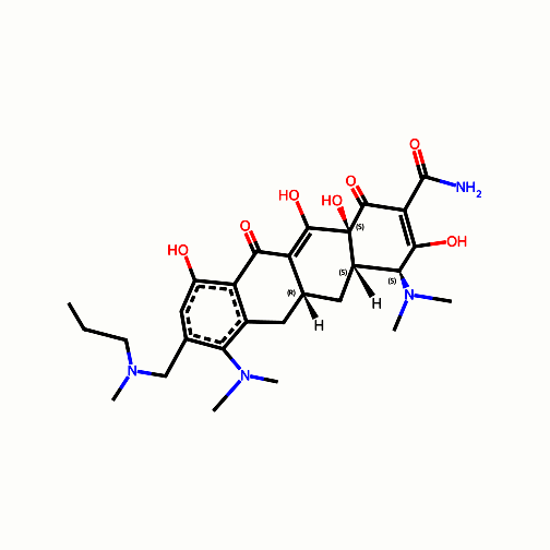 CCCN(C)Cc1cc(O)c2c(c1N(C)C)C[C@H]1C[C@H]3[C@H](N(C)C)C(O)=C(C(N)=O)C(=O)[C@@]3(O)C(O)=C1C2=O